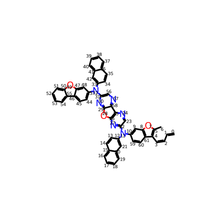 C=C/C=C\c1c(C)oc2cc(N(c3ccc4ccccc4c3)c3cnc4c(n3)oc3nc(N(c5ccc6ccccc6c5)c5ccc6c(c5)oc5ccccc56)cnc34)ccc12